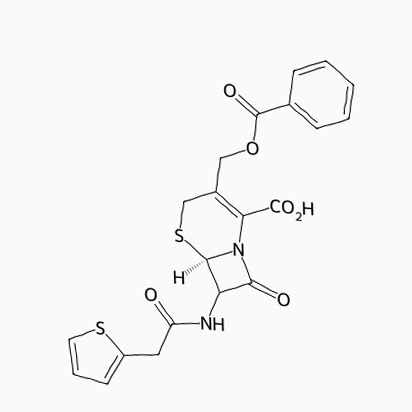 O=C(Cc1cccs1)NC1C(=O)N2C(C(=O)O)=C(COC(=O)c3ccccc3)CS[C@H]12